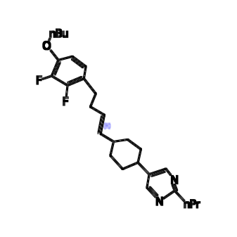 CCCCOc1ccc(CC/C=C/C2CCC(c3cnc(CCC)nc3)CC2)c(F)c1F